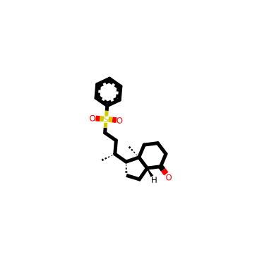 C[C@H](CCS(=O)(=O)c1ccccc1)[C@H]1CC[C@H]2C(=O)CCC[C@]12C